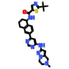 CN1CCn2nc(Nc3cc(-c4ccc5c(c4)CCCC5NC(=O)c4cnc(C(C)(C)C)s4)ncn3)cc2C1